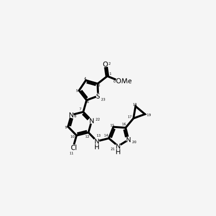 COC(=O)c1ccc(-c2ncc(Cl)c(Nc3cc(C4CC4)n[nH]3)n2)s1